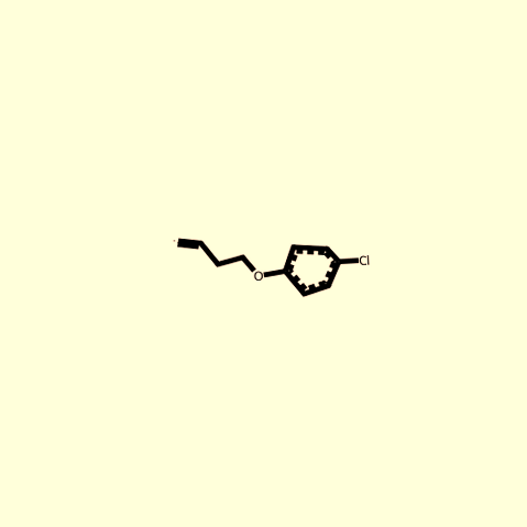 [CH]=CCCOc1ccc(Cl)cc1